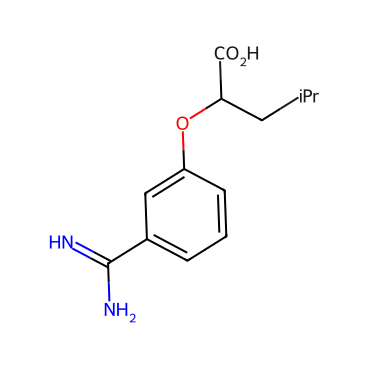 CC(C)CC(Oc1cccc(C(=N)N)c1)C(=O)O